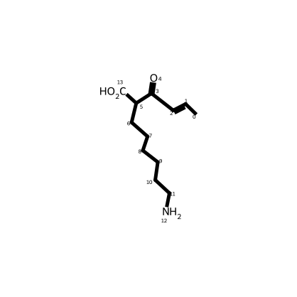 CC=CC(=O)C(CCCCCCN)C(=O)O